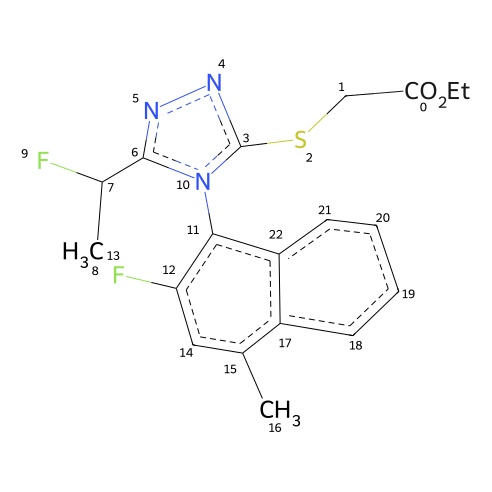 CCOC(=O)CSc1nnc(C(C)F)n1-c1c(F)cc(C)c2ccccc12